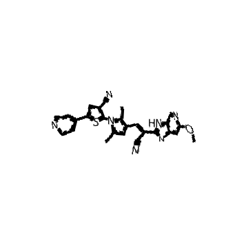 COc1cc2nc(C(C#N)=Cc3cc(C)n(-c4sc(-c5ccncc5)cc4C#N)c3C)[nH]c2cn1